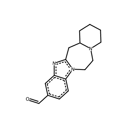 O=Cc1ccc2c(c1)nc1n2CCN2CCCCC2C1